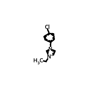 CC[n+]1ccn(-c2ccc(Cl)cc2)c1